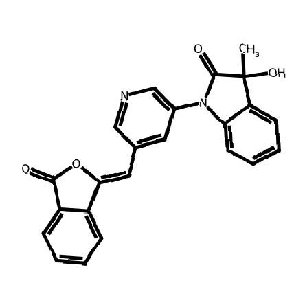 CC1(O)C(=O)N(c2cncc(C=C3OC(=O)c4ccccc43)c2)c2ccccc21